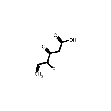 C=CC(F)C(=O)CC(=O)O